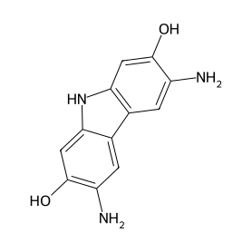 Nc1cc2c(cc1O)[nH]c1cc(O)c(N)cc12